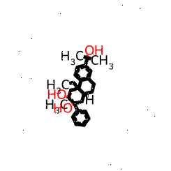 CCC12CC(C)(O)C(O)(c3ccccc3)C[C@H]1CCc1cc(C(C)(C)O)ccc12